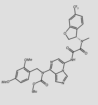 COc1ccc(CN(C(=O)OC(C)(C)C)c2ncc(NC(=O)C(=O)N(C)[C@@H]3COc4cc(C(F)(F)F)ccc43)n3cncc23)c(OC)c1